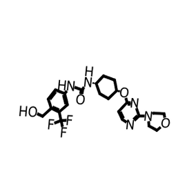 O=C(Nc1ccc(CO)c(C(F)(F)F)c1)N[C@H]1CC[C@H](Oc2ccnc(N3CCOCC3)n2)CC1